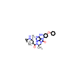 CC(Cn1c(=O)n(-c2ccc(Oc3ccccc3)cc2)c2c(N)ncnc21)NC(=O)C(C#N)=CC(C)(C)NC1CC1